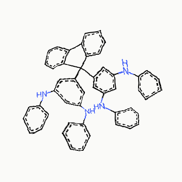 c1ccc(Nc2cc(Nc3ccccc3)cc(C3(c4cc(Nc5ccccc5)cc(Nc5ccccc5)c4)c4ccccc4-c4ccccc43)c2)cc1